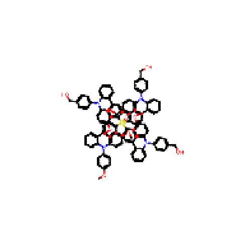 COc1ccc(N(c2ccc(CO)cc2)c2ccccc2-c2ccc3c(c2)-c2cc(-c4ccccc4N(c4ccc(CO)cc4)c4ccc(CO)cc4)ccc2S32(=O)c3ccc(-c4ccccc4N(c4ccc(CO)cc4)c4ccc(OC)cc4)cc3-c3cc(-c4ccccc4N(c4ccc(OC)cc4)c4ccc(OC)cc4)ccc32)cc1